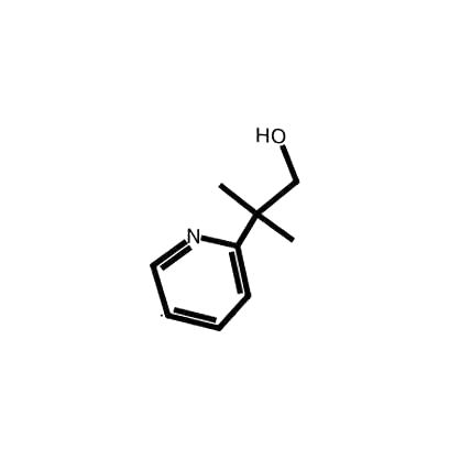 CC(C)(CO)c1cc[c]cn1